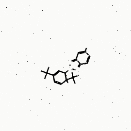 CC(C)(C)C1=CC(n2nc3ccc(Cl)cc3n2)C(O)(C(C)(C)C)C=C1